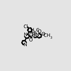 COc1ccc(CNC(=O)C2(C)C=C(c3cccnc3)CN=C2c2cccc(Cl)c2)nc1OC